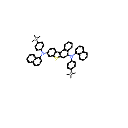 C[Si](C)(C)c1ccc(N(c2ccc3c(c2)sc2cc(N(c4ccc([Si](C)(C)C)cc4)c4cccc5ccccc45)c4ccccc4c23)c2cccc3ccccc23)cc1